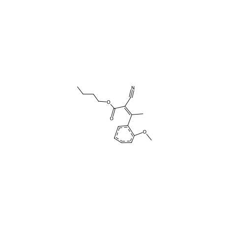 CCCCOC(=O)C(C#N)=C(C)c1ccccc1OC